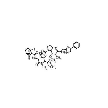 CCC(C)C(C(CC(=O)N1CCCC1C(OC)C(C)C(=O)NCc1nc(-c2ccccc2)c[nH]1)OC)N(C)C(=O)CNC(=O)C1NC2CC[C@H]1C2